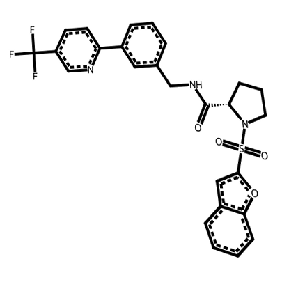 O=C(NCc1cccc(-c2ccc(C(F)(F)F)cn2)c1)[C@@H]1CCCN1S(=O)(=O)c1cc2ccccc2o1